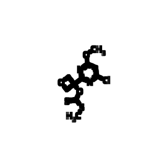 COc1cc(Cl)nc(C2(OC(=S)SC)COC2)n1